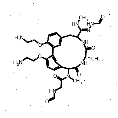 CN/C(=N\NC=O)C1Cc2ccc(OCCN)c(c2)-c2cc(ccc2OCCN)C(N(C)C(=O)CNC=O)C(=O)N[C@@H](C)C(=O)N1